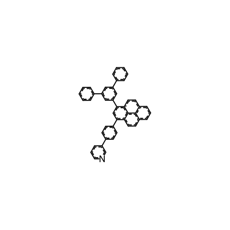 c1ccc(-c2cc(-c3ccccc3)cc(-c3cc(-c4ccc(-c5cccnc5)cc4)c4ccc5cccc6ccc3c4c56)c2)cc1